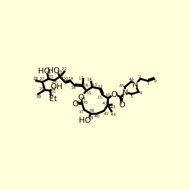 C=CCN1CCN(C(=O)OC2/C=C/C(C)C(/C(C)=C/C=C/C(C)(O)CC(O)C(C)C(C)C(O)CC)OC(=O)CC(O)CCC2(C)C)CC1